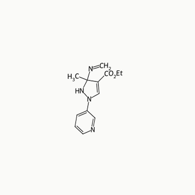 C=NC1(C)NN(c2cccnc2)C=C1C(=O)OCC